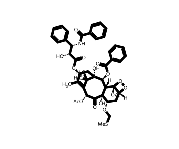 CSCO[C@H]1C[C@H]2OO[C@@]2(OC(C)=O)[C@H]2[C@H](OC(=O)c3ccccc3)[C@]3(O)C[C@H](OC(=O)[C@H](O)[C@@H](NC(=O)c4ccccc4)c4ccccc4)C(C)=C([C@@H](OC(C)=O)C(=O)[C@]12C)C3(C)C